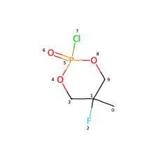 CC1(F)COP(=O)(Cl)OC1